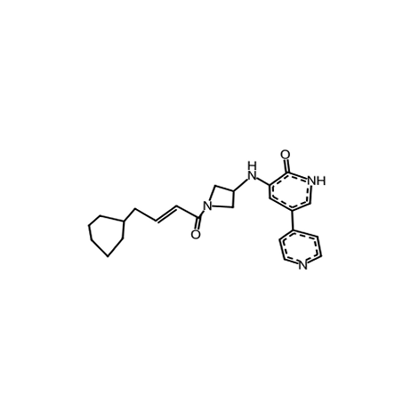 O=C(C=CCC1CCCCC1)N1CC(Nc2cc(-c3ccncc3)c[nH]c2=O)C1